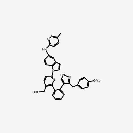 COc1ccc(Cc2n[nH]cc2-c2ncccc2-c2nc(-n3cnc4cc(Nc5ccc(C)nn5)ccc43)ccc2CC=O)cc1